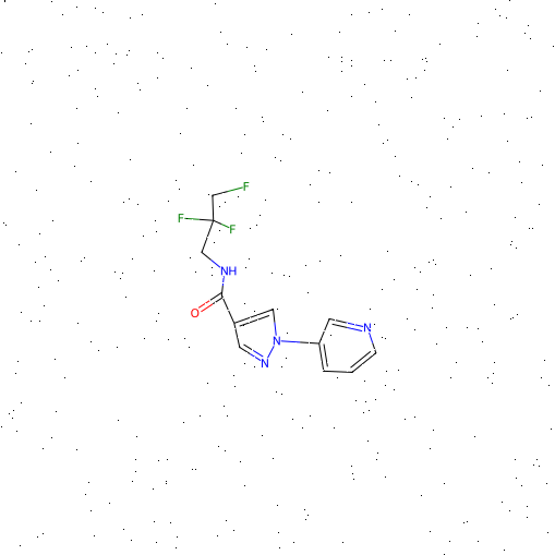 O=C(NCC(F)(F)CF)c1cnn(-c2cccnc2)c1